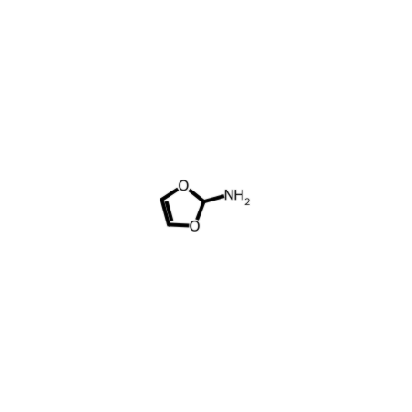 NC1OC=CO1